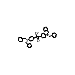 O=C1C(=C2C=CC(=[N+](Cc3ccccc3)Cc3ccccc3)C=C2)C([O-])=C1c1ccc(N(Cc2ccccc2)Cc2ccccc2)cc1